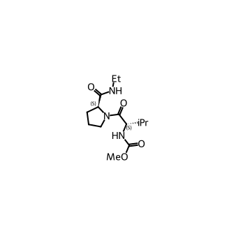 CCNC(=O)[C@@H]1CCCN1C(=O)[C@@H](NC(=O)OC)C(C)C